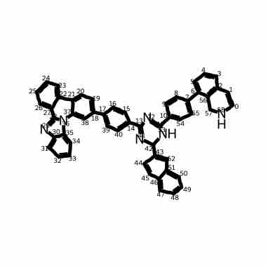 C1=Cc2cccc(-c3ccc(C4=NC(c5ccc(-c6ccc7c8ccccc8c8nc9ccccc9n8c7c6)cc5)=NC(c5ccc6ccccc6c5)N4)cc3)c2CN1